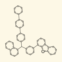 c1ccc(-c2ccc(-c3ccc(C(c4cccc(-c5cccc6c5oc5ccccc56)c4)c4cccc5ccccc45)cc3)cc2)cc1